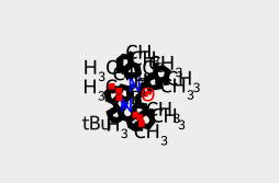 Cc1cc2c3c(c1)N(c1c(C4=CCCC=C4)cc(C(C)(C)C)cc1-c1ccccc1)c1cc4c(cc1B3C1=C([C@@H]3C=C5C(=CC3O1)C(C)(C)CCC5(C)C)N2c1ccc2c(c1)C(C)(C)CCC2(C)C)C(C)(C)CCC4(C)C